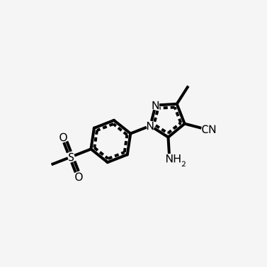 Cc1nn(-c2ccc(S(C)(=O)=O)cc2)c(N)c1C#N